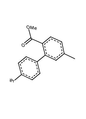 COC(=O)c1ccc(C)cc1-c1ccc(C(C)C)cc1